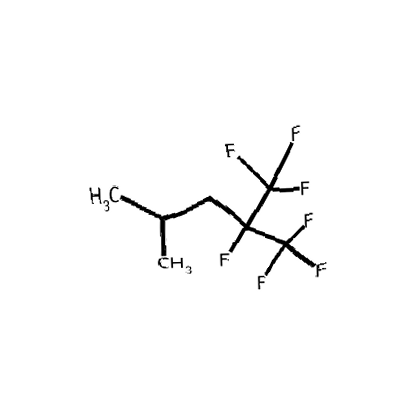 CC(C)CC(F)(C(F)(F)F)C(F)(F)F